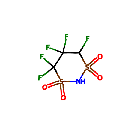 O=S1(=O)NS(=O)(=O)C(F)(F)C(F)(F)C1F